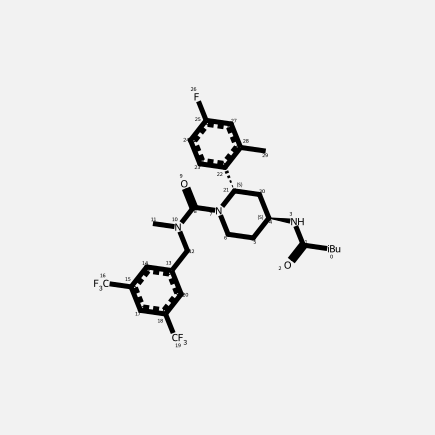 CCC(C)C(=O)N[C@H]1CCN(C(=O)N(C)Cc2cc(C(F)(F)F)cc(C(F)(F)F)c2)[C@H](c2ccc(F)cc2C)C1